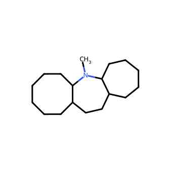 CN1C2CCCCCCC2CCC2CCCCCC21